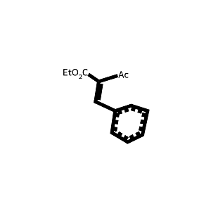 CCOC(=O)C(=Cc1ccccc1)C(C)=O